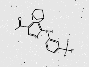 CC(=O)c1cnc(Nc2cccc(C(F)(F)F)c2)c2c1C1CCC2C1